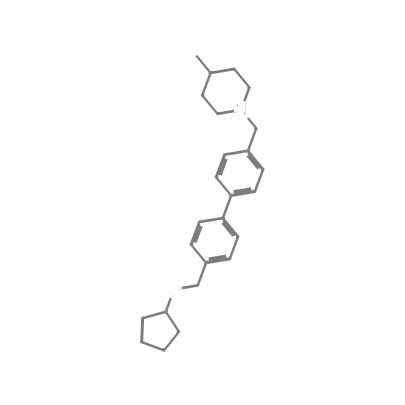 CC1CCN(Cc2ccc(-c3ccc(COC4CCCC4)cc3)cc2)CC1